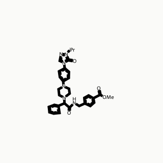 COC(=O)c1ccc(CNC(=O)C(c2ccccc2)N2CCN(c3ccc(-n4cnn(C(C)C)c4=O)cc3)CC2)cc1